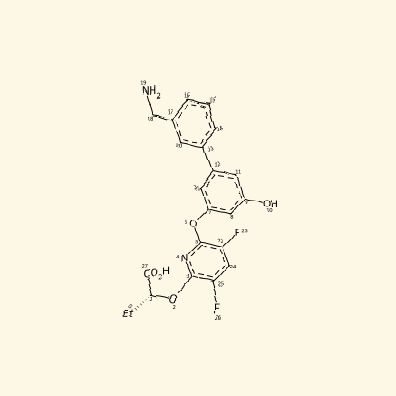 CC[C@@H](Oc1nc(Oc2cc(O)cc(-c3cccc(CN)c3)c2)c(F)cc1F)C(=O)O